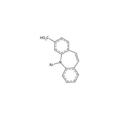 CC(=O)N1c2ccccc2C=Cc2ccc(C(=O)O)cc21